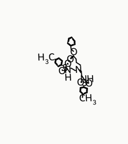 Cc1ccc(S(=O)(=O)NCCN(CCCC(=O)OCc2ccccc2)CCNS(=O)(=O)c2ccc(C)cc2)cc1